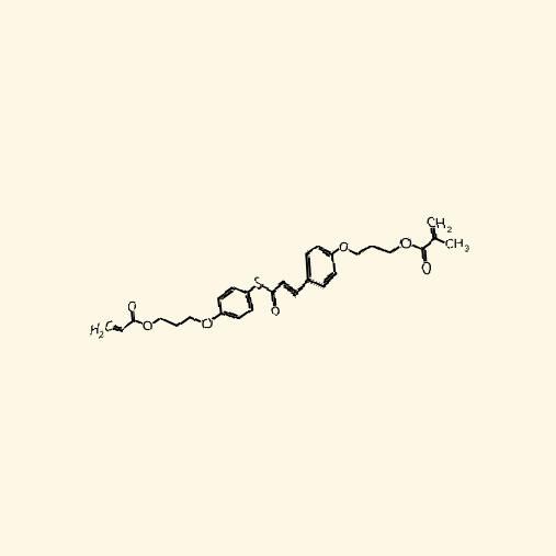 C=CC(=O)OCCCOc1ccc(SC(=O)/C=C/c2ccc(OCCCOC(=O)C(=C)C)cc2)cc1